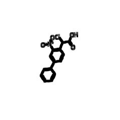 O=C(O)C(Cl)c1ccc(-c2ccccc2)cc1[N+](=O)[O-]